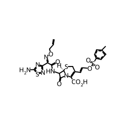 C=CCO/N=C(\C(=O)NC1C(=O)N2C(C(=O)O)=C(/C=C/OS(=O)(=O)c3ccc(C)cc3)CS[C@H]12)c1nsc(N)n1